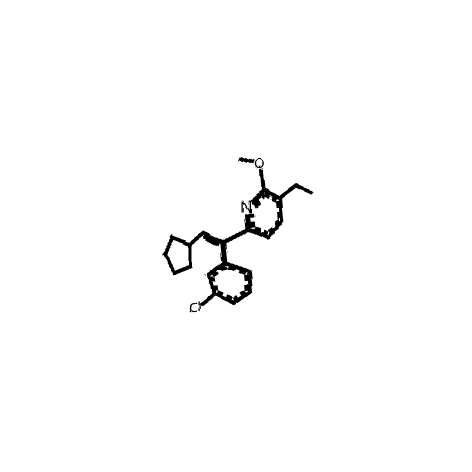 CCc1ccc(/C(=C/C2CCCC2)c2[c]c(Cl)ccc2)nc1OC